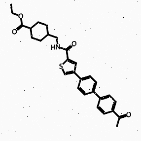 CCOC(=O)C1CCC(CNC(=O)c2cc(-c3ccc(-c4ccc(C(C)=O)cc4)cc3)cs2)CC1